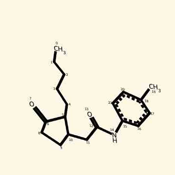 CCCCCC1C(=O)CCC1CC(=O)Nc1ccc(C)cc1